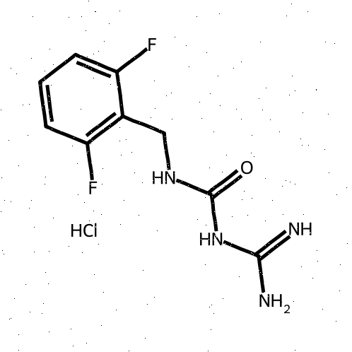 Cl.N=C(N)NC(=O)NCc1c(F)cccc1F